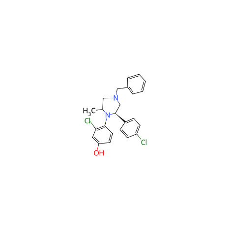 CC1CN(Cc2ccccc2)C[C@@H](c2ccc(Cl)cc2)N1c1ccc(O)cc1Cl